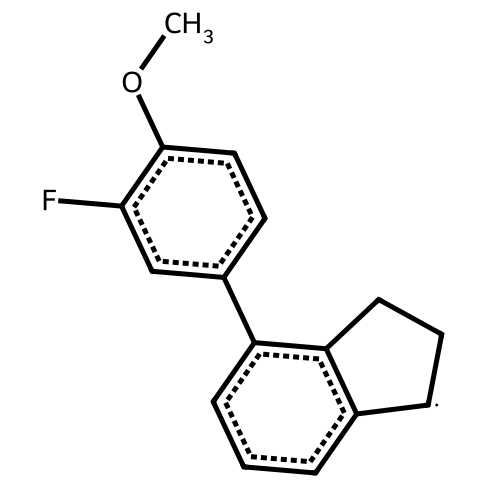 COc1ccc(-c2cccc3c2CC[CH]3)cc1F